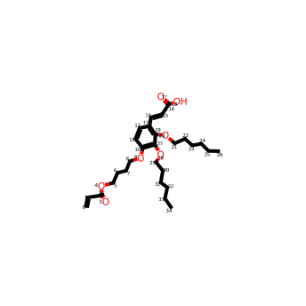 C=CC(=O)OCCCCOc1ccc(C=CC(=O)O)c(OCCCCCC)c1OCCCCCC